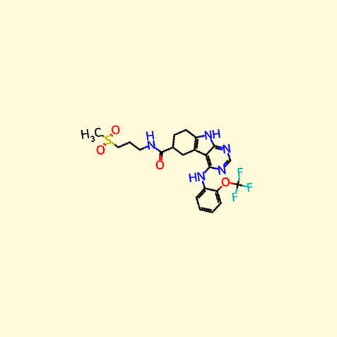 CS(=O)(=O)CCCNC(=O)C1CCc2[nH]c3ncnc(Nc4ccccc4OC(F)(F)F)c3c2C1